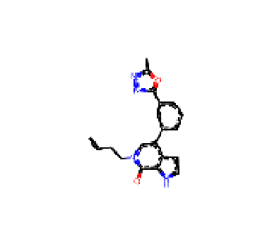 C=CCCn1cc(-c2cccc(-c3nnc(C)o3)c2)c2cc[nH]c2c1=O